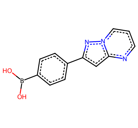 OB(O)c1ccc(-c2cc3ncccn3n2)cc1